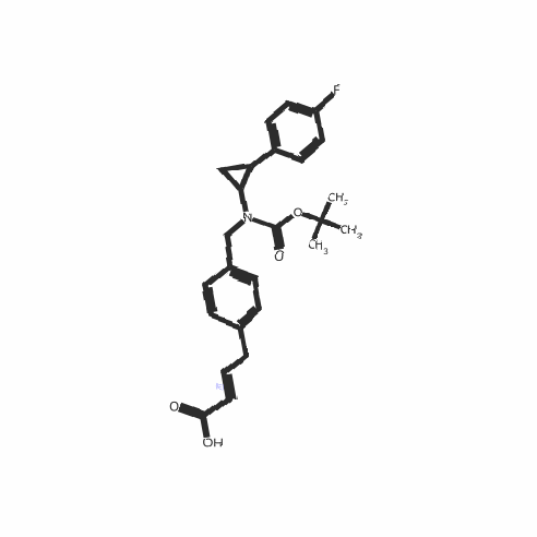 CC(C)(C)OC(=O)N(Cc1ccc(C/C=C/C(=O)O)cc1)C1CC1c1ccc(F)cc1